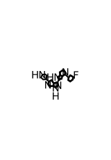 Fc1cccc(-c2nccc3[nH]c(-c4n[nH]c5cnc(C6=CCNCC6)cc45)cc23)c1